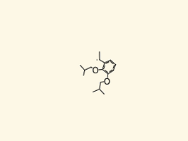 C[CH]c1cccc(OCC(C)C)c1OCC(C)C